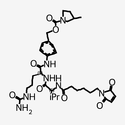 CC1CCN(C(=O)OCc2ccc(NC(=O)[C@H](CCCNC(N)=O)NC(=O)[C@@H](NC(=O)CCCCCN3C(=O)C=CC3=O)C(C)C)cc2)C1